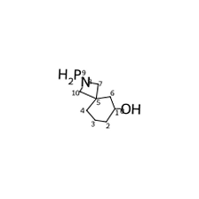 OC1CCCC2(C1)CN(P)C2